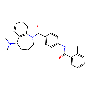 Cc1ccccc1C(=O)Nc1ccc(C(=O)N2CCCC(N(C)C)C3=C2CCC=C3)cc1